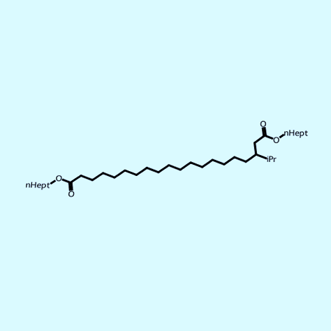 CCCCCCCOC(=O)CCCCCCCCCCCCCCCCC(CC(=O)OCCCCCCC)C(C)C